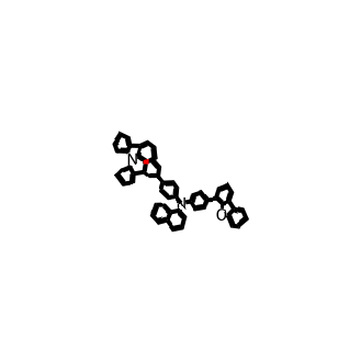 c1cc(-c2ccc(N(c3ccc(-c4cccc5c4oc4ccccc45)cc3)c3cccc4ccccc34)cc2)cc(-c2ccccc2-n2c3ccccc3c3ccccc32)c1